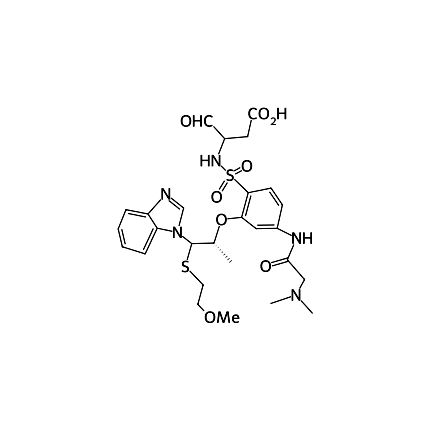 COCCSC([C@@H](C)Oc1cc(NC(=O)CN(C)C)ccc1S(=O)(=O)NC(C=O)CC(=O)O)n1cnc2ccccc21